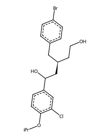 CC(C)Oc1ccc(C(O)C[C@H](CCO)Cc2ccc(Br)cc2)cc1Cl